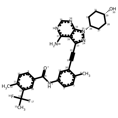 Cc1ccc(NC(=O)c2ccc(C)c(C(C)(F)F)c2)cc1C#Cc1nn([C@H]2CC[C@@H](O)CC2)c2ncnc(N)c12